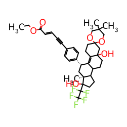 CCOC(=O)/C=C/C#Cc1ccc([C@H]2C[C@@]3(C)C(CCC3(O)C(F)(F)C(F)(F)F)C3CCC4(O)CC5(CCC4=C32)OCC(C)(C)CO5)cc1